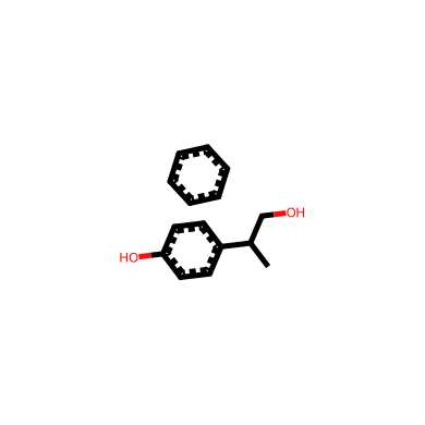 CC(CO)c1ccc(O)cc1.c1ccccc1